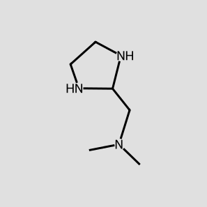 CN(C)CC1NCCN1